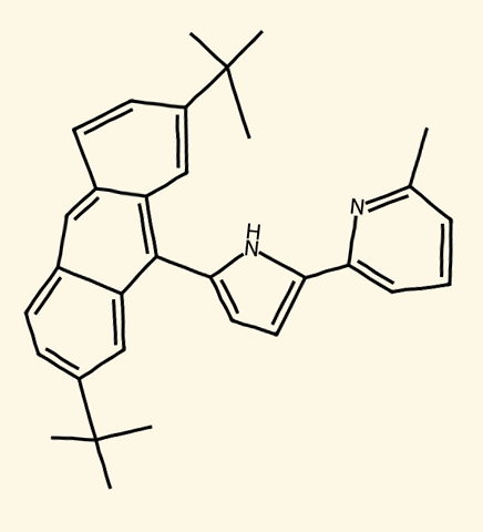 Cc1cccc(-c2ccc(-c3c4cc(C(C)(C)C)ccc4cc4ccc(C(C)(C)C)cc34)[nH]2)n1